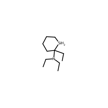 CCN(CC)C1(CC)CCCC[SiH2]1